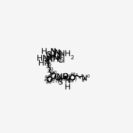 CN(C)CCCc1ccc(NC(=O)C2S[C@@]2(N)Cc2ccc(CCCCNC(=N)NC(=O)c3nc(Cl)c(N)nc3N)c3ccccc23)cc1